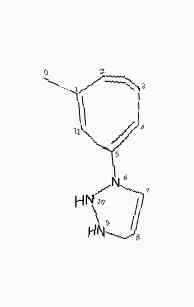 Cc1cccc(N2C=CNN2)c1